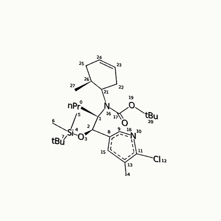 CCC[C@H]([C@H](O[Si](C)(C)C(C)(C)C)c1cnc(Cl)c(C)c1)N(C(=O)OC(C)(C)C)C1CC=CC[C@@H]1C